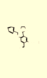 C=Cc1cc(OCc2ccccc2)c(C2OCCO2)cc1C(=O)O